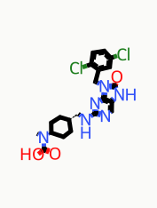 CN(C(=O)O)[C@H]1CC[C@H](CNc2ncc3[nH]c(=O)n(Cc4cc(Cl)ccc4Cl)c3n2)CC1